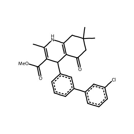 COC(=O)C1=C(C)NC2=C(C(=O)CC(C)(C)C2)C1c1cccc(-c2cccc(Cl)c2)c1